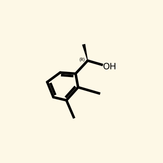 Cc1cccc([C@@H](C)O)c1C